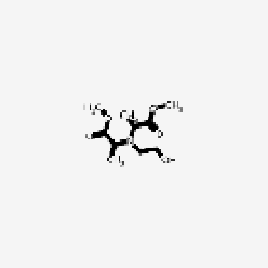 COC(=O)C(C)N(CCO)C(C)C(=O)OC